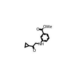 COC(=O)c1cccc(NCC(=O)C2CC2)c1